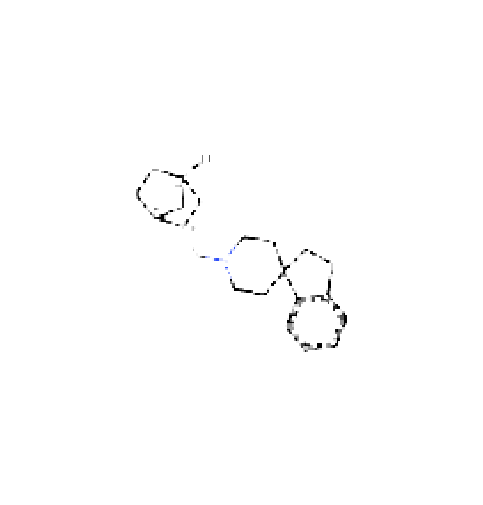 c1ccc2c(c1)CCC21CCN(C[C@H]2C[C@H]3CC[C@H]2C3)CC1